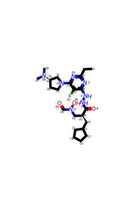 CCc1nc(NNC(=O)[C@@H](CC2CCCC2)CN(O)C=O)c(F)c(N2CC[C@H](N(C)C)C2)n1